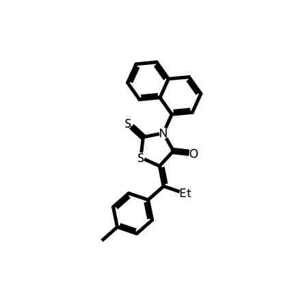 CC/C(=C1/SC(=S)N(c2cccc3ccccc23)C1=O)c1ccc(C)cc1